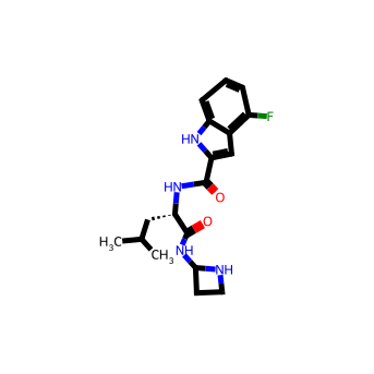 CC(C)C[C@H](NC(=O)c1cc2c(F)cccc2[nH]1)C(=O)NC1CCN1